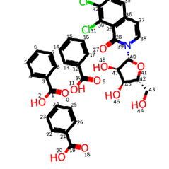 O=C(O)c1ccccc1.O=C(O)c1ccccc1.O=C(O)c1ccccc1.O=c1c2c(Cl)c(Cl)ccc2ccn1[C@@H]1O[C@H](CO)[C@@H](O)[C@H]1O